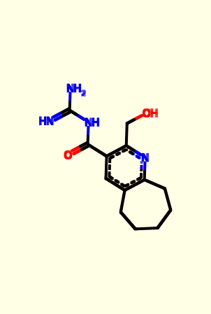 N=C(N)NC(=O)c1cc2c(nc1CO)CCCCC2